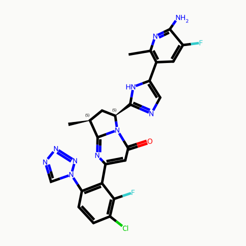 Cc1nc(N)c(F)cc1-c1cnc([C@@H]2C[C@H](C)c3nc(-c4c(-n5cnnn5)ccc(Cl)c4F)cc(=O)n32)[nH]1